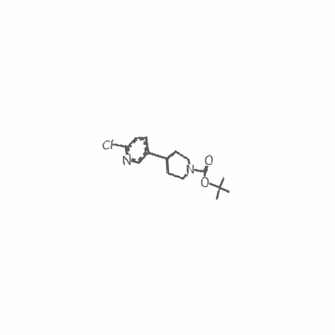 CC(C)(C)OC(=O)N1CCC(c2ccc(Cl)nc2)CC1